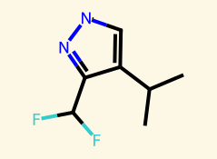 CC(C)C1=C[N]N=C1C(F)F